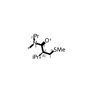 CSC[C@H](C(=O)N(C)C(C)C)C(C)C